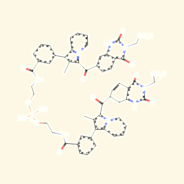 Cc1c(-c2cccc(C(=O)NCCO[PH](O)(O)OCCNC(=O)c3cccc(-c4c(C)c(C(=O)C5C=Cc6c([nH]c(=O)n(CC(=O)O)c6=O)C5)n5ccccc45)c3)c2)c2ccccn2c1C(=O)c1ccc2c(=O)n(CC(=O)O)c(=O)[nH]c2c1